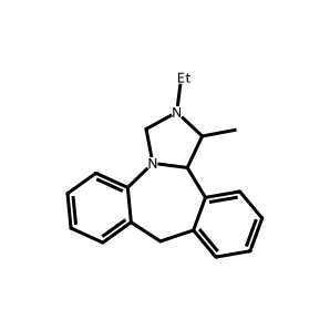 CCN1CN2c3ccccc3Cc3ccccc3C2C1C